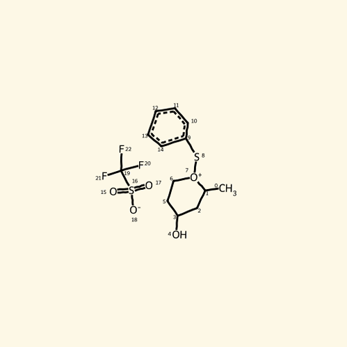 CC1CC(O)CC[O+]1Sc1ccccc1.O=S(=O)([O-])C(F)(F)F